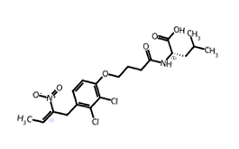 C/C=C(/Cc1ccc(OCCCC(=O)N[C@@H](CC(C)C)C(=O)O)c(Cl)c1Cl)[N+](=O)[O-]